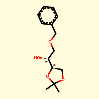 CC1(C)OC[C@H]([C@H](O)COCc2ccccc2)O1